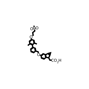 Cc1cc(OCCCS(C)(=O)=O)cc(C)c1-c1cccc(COc2ccc3c(c2)C2CC2C3CC(=O)O)c1